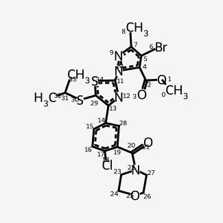 COC(=O)c1c(Br)c(C)nn1-c1nc(-c2ccc(Cl)c(C(=O)N3CCOCC3)c2)c(SC(C)C)s1